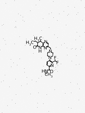 CCC1C(=O)Nc2nc(CN3CCN(c4ccc(C(=O)NC)nc4C(F)F)CC3)cnc2C1C